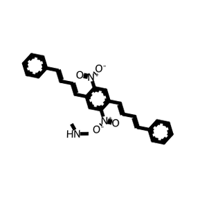 CNC.O=[N+]([O-])c1cc(C=CC=Cc2ccccc2)c([N+](=O)[O-])cc1C=CC=Cc1ccccc1